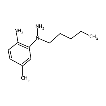 CCCCCN(N)c1cc(C)ccc1N